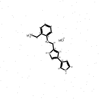 Cl.NCc1ccccc1OCc1cc(-c2ccsc2)cs1